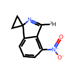 [2H]C1=NC2(CC2)c2cccc([N+](=O)[O-])c21